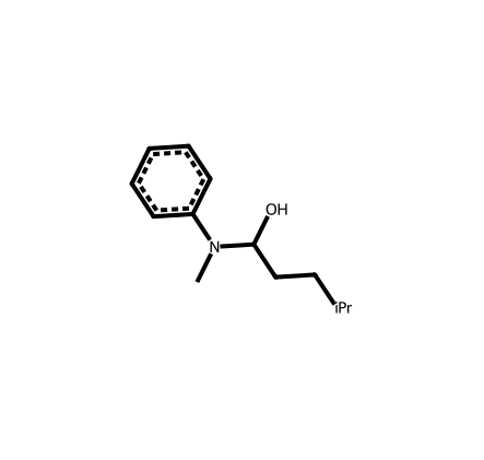 CC(C)CCC(O)N(C)c1ccccc1